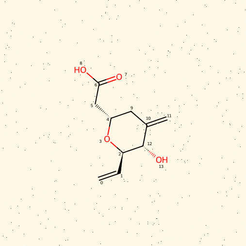 C=C[C@H]1O[C@H](CC(=O)O)CC(=C)[C@@H]1O